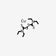 CCN(CC)C(=S)SSC(=S)N(CC)CC.[Cu]